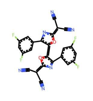 N#CC(C#N)=c1nc(-c2cc(F)cc(F)c2)/c(=c2\oc(=C(C#N)C#N)nc2-c2cc(F)cc(F)c2)o1